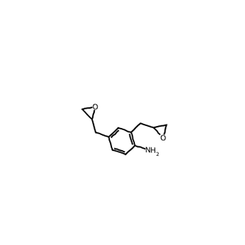 Nc1ccc(CC2CO2)cc1CC1CO1